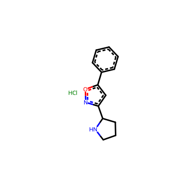 Cl.c1ccc(-c2cc(C3CCCN3)no2)cc1